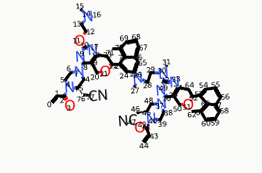 C=CC(=O)N1CCN(c2nc(OCCN(C)C)nc3c2COC(c2cc(N(C)CCN(C)c4nc5c(c(N6CCN(C(=O)C=C)[C@@H](CC#N)C6)n4)COC(c4cccc6cccc(C)c46)C5)cc4cccc(C)c24)C3)C[C@@H]1CC#N